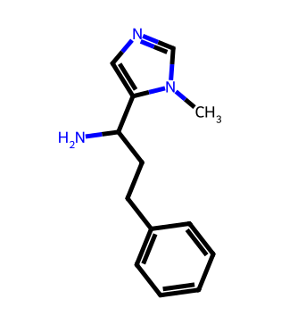 Cn1cncc1C(N)CCc1ccccc1